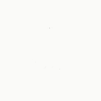 CCCCCCCCCCCCCCCC[P+](C)(C)c1cccc2ccccc12.[Cl-]